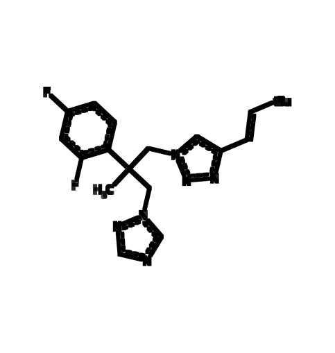 CC(C)(C)/C=C/c1cn(CC(C)(Cn2cncn2)c2ccc(F)cc2F)nn1